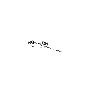 CCCCCCCCCCCCCCC(O)C(O)=CC=CC=CC(=O)O